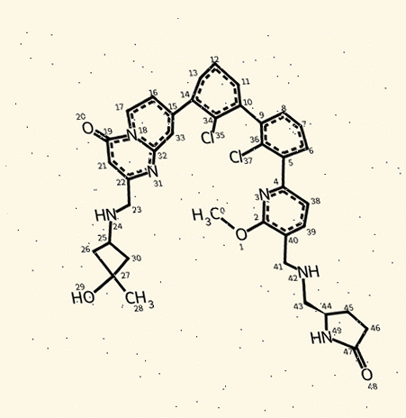 COc1nc(-c2cccc(-c3cccc(-c4ccn5c(=O)cc(CNC6CC(C)(O)C6)nc5c4)c3Cl)c2Cl)ccc1CNC[C@H]1CCC(=O)N1